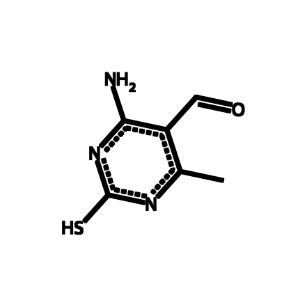 Cc1nc(S)nc(N)c1C=O